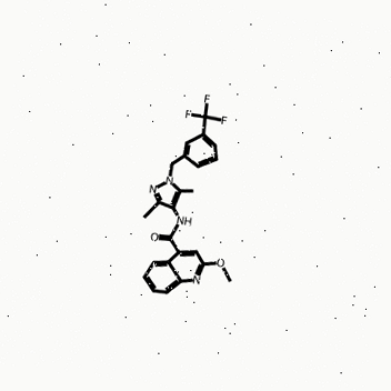 COc1cc(C(=O)Nc2c(C)nn(Cc3cccc(C(F)(F)F)c3)c2C)c2ccccc2n1